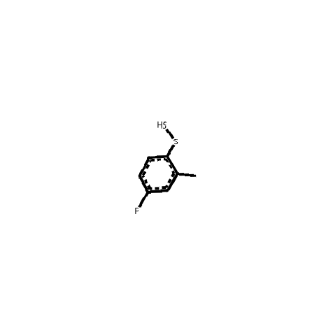 Cc1cc(F)ccc1SS